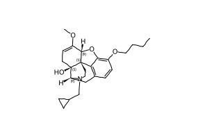 CCCCOc1ccc2c3c1O[C@H]1C(OC)=CC[C@@]4(O)[C@@H](C2)N(CC2CC2)CC[C@]314